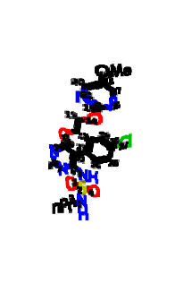 CCCNS(=O)(=O)Nc1ncnc(OCCOc2ncc(OC)cn2)c1-c1ccc(Cl)cc1